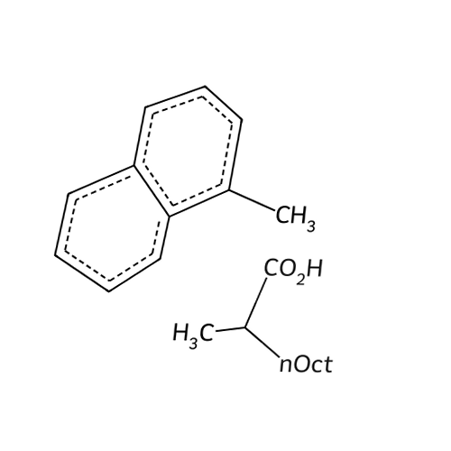 CCCCCCCCC(C)C(=O)O.Cc1cccc2ccccc12